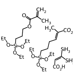 C=C(C)C(=O)OCCC[Si](OCC)(OCC)OCC.CCO[Si](CCCC=C(C)C(=O)O)(OCC)OCC.O=C(O)C=C([SiH3])[SiH3]